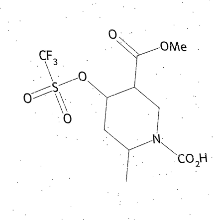 COC(=O)C1CN(C(=O)O)C(C)CC1OS(=O)(=O)C(F)(F)F